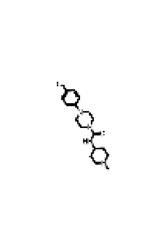 CN1CCC(NC(=O)N2CCN(c3ccc(Cl)cc3)CC2)CC1